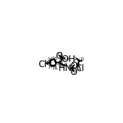 CC(C)C(Cl)OC(=O)NCCC(C(=O)O)c1ccc(Cl)cc1